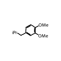 [CH2]C(C)Cc1ccc(OC)c(OC)c1